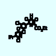 CCOC(=O)Cn1nc(-c2cc(Cl)c(Oc3cc(C(C)C)c(Cl)nn3)c(Cl)c2)c(=O)[nH]c1=O